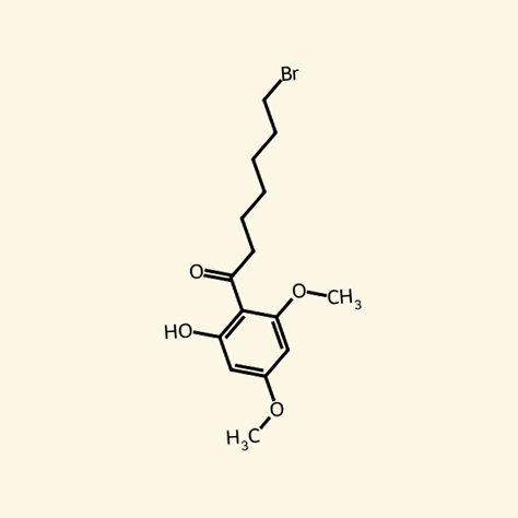 COc1cc(O)c(C(=O)CCCCCCBr)c(OC)c1